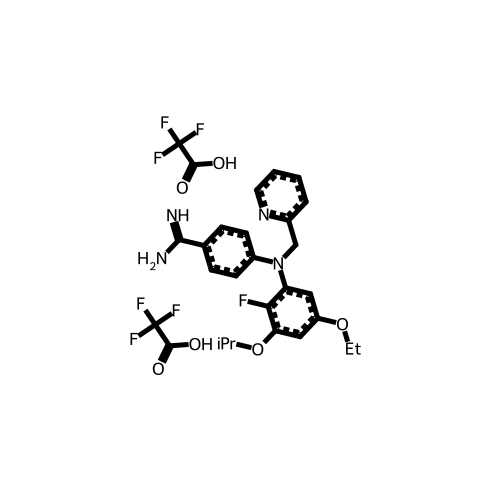 CCOc1cc(OC(C)C)c(F)c(N(Cc2ccccn2)c2ccc(C(=N)N)cc2)c1.O=C(O)C(F)(F)F.O=C(O)C(F)(F)F